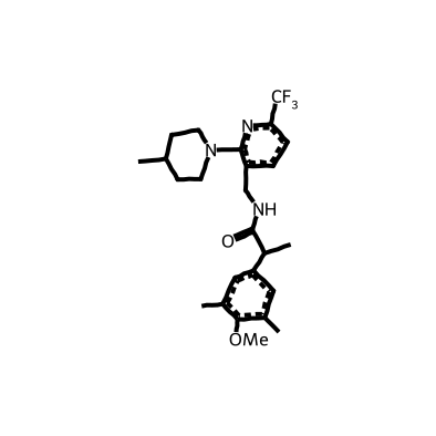 COc1c(C)cc(C(C)C(=O)NCc2ccc(C(F)(F)F)nc2N2CCC(C)CC2)cc1C